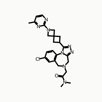 Cc1ccnc(N2CC3(CC(c4nnc5n4-c4ccc(Cl)cc4CN(CC(=O)N(C)C)C5)C3)C2)n1